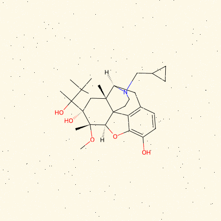 CO[C@@]1(C)[C@@H]2Oc3c(O)ccc4c3C23CCN(CC2CC2)[C@H](C4)[C@@]3(C)C[C@]1(O)C(C)(O)C(C)(C)C